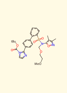 COCCOCN(c1onc(C)c1C)S(=O)(=O)c1ccccc1-c1ccc(-c2nccn2C(=O)OC(C)(C)C)cc1